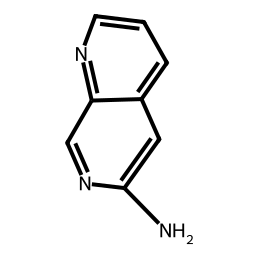 Nc1cc2cccnc2cn1